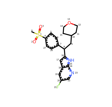 CS(=O)(=O)c1ccc(C(CC2CCOCC2)c2cc3cc(F)cnc3[nH]2)cc1